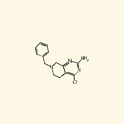 Nc1nc(Cl)c2c(n1)CN(Cc1ccccc1)CC2